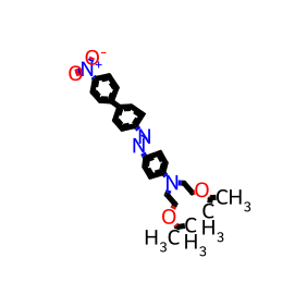 CC(C)OCCN(CCOC(C)C)c1ccc(N=Nc2ccc(-c3ccc([N+](=O)[O-])cc3)cc2)cc1